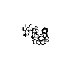 CC[C@@]12C=C(C(=O)N[C@H](C(=O)O)C(C)O)n3c4c(c5ccccc53)CCN(CCC1)[C@H]42